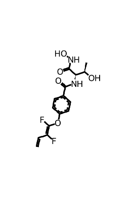 C=C/C(F)=C(\F)Oc1ccc(C(=O)N[C@H](C(=O)NO)[C@@H](C)O)cc1